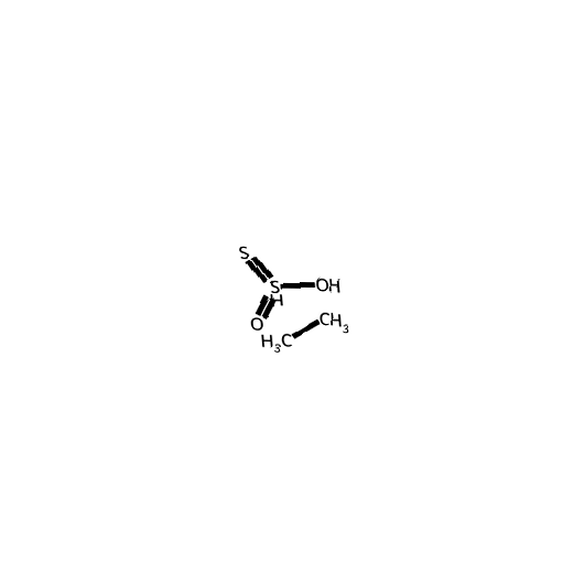 CC.O=[SH](O)=S